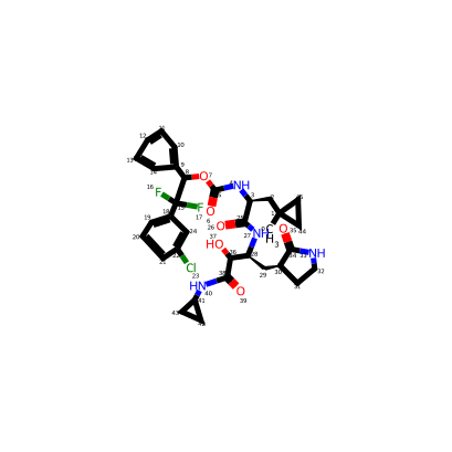 CC1(C[C@H](NC(=O)OC(c2ccccc2)C(F)(F)c2cccc(Cl)c2)C(=O)N[C@@H](C[C@@H]2CCNC2=O)C(O)C(=O)NC2CC2)CC1